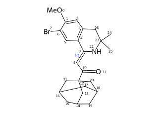 COc1cc2c(cc1Br)/C(=C/C(=O)C13CC4CC(CC(C4)C1)C3)NC(C)(C)C2